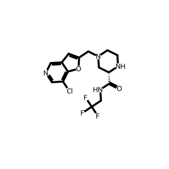 O=C(NCC(F)(F)F)[C@@H]1CN(Cc2cc3cncc(Cl)c3o2)CCN1